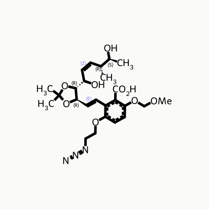 COCOc1ccc(OCCN=[N+]=[N-])c(/C=C/[C@H]2OC(C)(C)O[C@@H]2C(O)/C=C\[C@@H](C)[C@H](C)O)c1C(=O)O